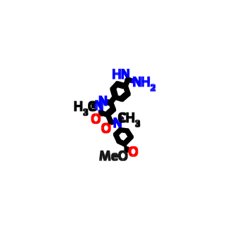 COC(=O)[C@H]1CC[C@H](N(C)C(=O)c2cc(-c3ccc(C(=N)N)cc3)nn(C)c2=O)CC1